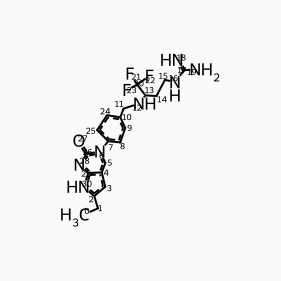 CCc1cc2cn(-c3ccc(CNC(CCNC(=N)N)C(F)(F)F)cc3)c(=O)nc2[nH]1